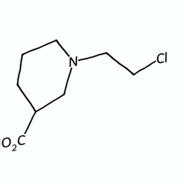 O=C(O)C1CCCN(CCCl)C1